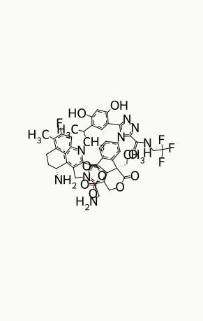 CC[C@]1(c2cc(-n3c(C(=O)NCC(F)(F)F)nnc3-c3cc(C(C)C)c(O)cc3O)ccc2C(=O)OC(=O)CN)C(=O)OCc2c1cc1n(c2=O)Cc2c-1nc1cc(F)c(C)c3c1c2[C@H](N)CC3